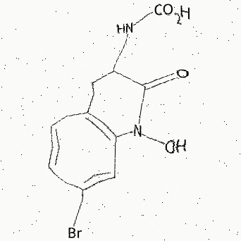 O=C(O)NC1Cc2ccc(Br)cc2N(O)C1=O